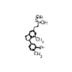 Cc1ccc(C2CCc3cc(CCP(O)SO)cc(C)c32)cc1C(C)C